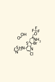 N[C@@H](COC(F)(F)F)Cc1sc2c(NCc3nccs3)cc(Cl)nc2c1Br.O=CO